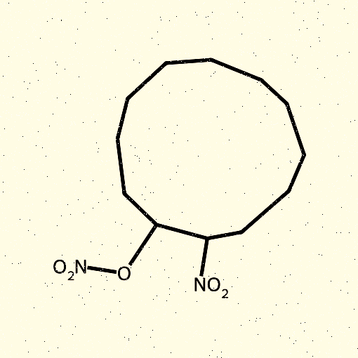 O=[N+]([O-])OC1CCCCCCCCCCC1[N+](=O)[O-]